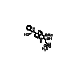 CO[C@H]([C@H](O)[C@H](O)CNS(N)(=O)=O)n1cnc2c(N[C@H](CO)c3ccccc3)ncnc21